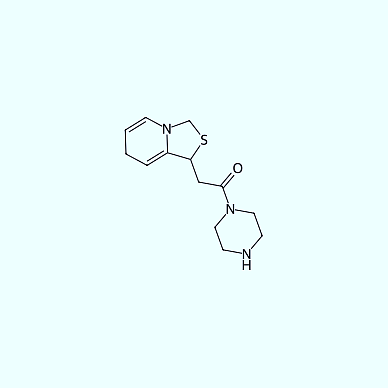 O=C(CC1SCN2C=CCC=C12)N1CCNCC1